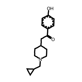 O=C(CC1CCN(CC2CC2)CC1)c1ccc(O)cc1